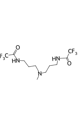 CN(CCCNC(=O)C(F)(F)F)CCCNC(=O)C(F)(F)F